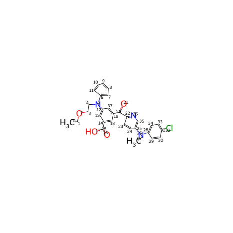 CCOCCN(c1ccccc1)c1cc(C(=O)O)cc(C(=O)c2ccc(N(C)c3ccc(Cl)cc3)cn2)c1